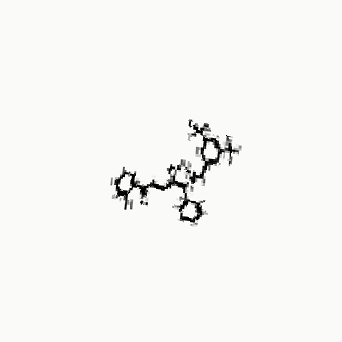 O=C(C=Cc1nnn(Cc2cc(C(F)(F)F)cc(C(F)(F)F)c2)c1-c1ccccc1)c1ccccc1Cl